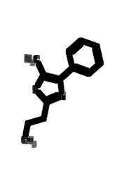 CCCc1nc(-c2ccccc2)c(C)s1